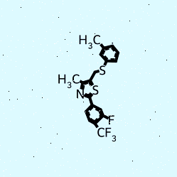 Cc1[c]ccc(SCc2sc(-c3ccc(C(F)(F)F)c(F)c3)nc2C)c1